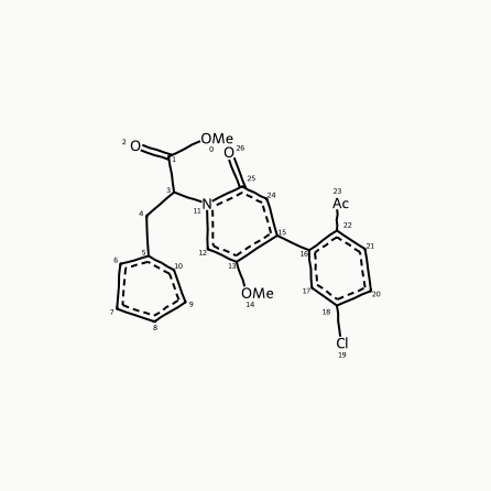 COC(=O)C(Cc1ccccc1)n1cc(OC)c(-c2cc(Cl)ccc2C(C)=O)cc1=O